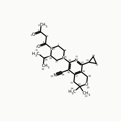 CC(=O)CC(=O)N1CCN(c2nc(C3CC3)c3c(c2C#N)CC(C)(C)OC3)C[C@H]1C(C)C